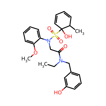 CCN(Cc1cccc(O)c1)C(=O)CN(c1ccccc1OC)S(=O)(=O)C1(O)C=CC=CC1C